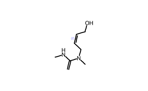 C=C(NC)N(C)C/C=C\CO